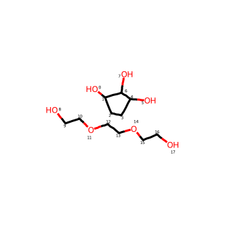 OC1CCC(O)C1O.OCCOCCOCCO